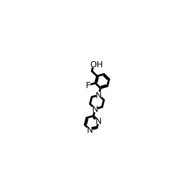 OCc1cccc(N2CCN(c3ccncn3)CC2)c1F